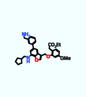 CCOC(=O)Cc1ccc(OC)cc1OCc1coc2c(NCC3CCCC3)cc(-c3cccc(CN)c3)cc12